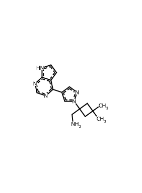 CC1(C)CC(CN)(n2cc(-c3ncnc4[nH]ccc34)cn2)C1